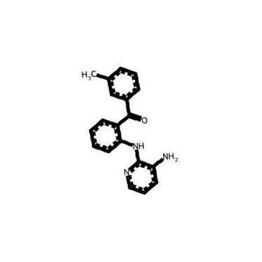 Cc1cccc(C(=O)c2ccccc2Nc2ncccc2N)c1